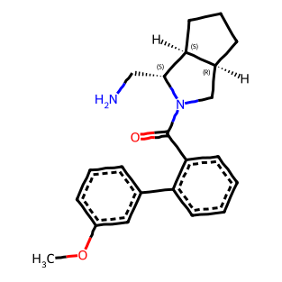 COc1cccc(-c2ccccc2C(=O)N2C[C@@H]3CCC[C@@H]3[C@H]2CN)c1